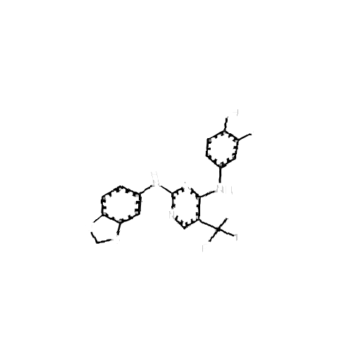 Cc1ccc(Nc2nc(Nc3ccc4c(c3)OCO4)ncc2C(F)(F)F)cc1C